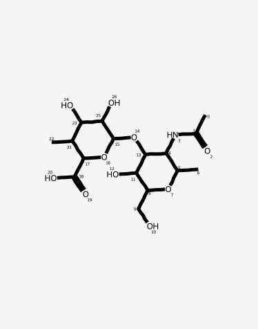 CC(=O)NC1C(C)OC(CO)C(O)C1OC1OC(C(=O)O)C(C)C(O)C1O